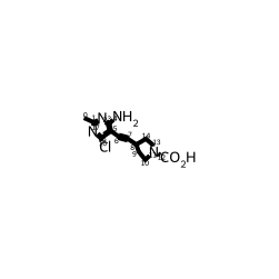 Cc1nc(N)c(C#CC2CCN(C(=O)O)CC2)c(Cl)n1